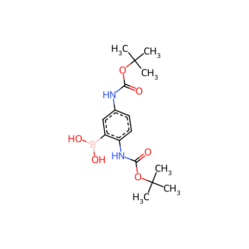 CC(C)(C)OC(=O)Nc1ccc(NC(=O)OC(C)(C)C)c(B(O)O)c1